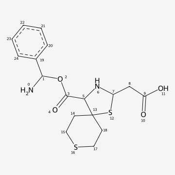 NC(OC(=O)C1NC(CC(=O)O)SC12CCSCC2)c1ccccc1